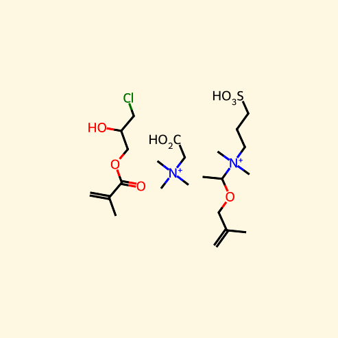 C=C(C)C(=O)OCC(O)CCl.C=C(C)COC(C)[N+](C)(C)CCCS(=O)(=O)O.C[N+](C)(C)CC(=O)O